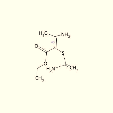 C=C(N)S/C(C(=O)OCC)=C(/C)N